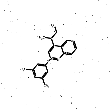 CCC(C)c1cc(-c2cc(C)cc(C)c2)nc2ccccc12